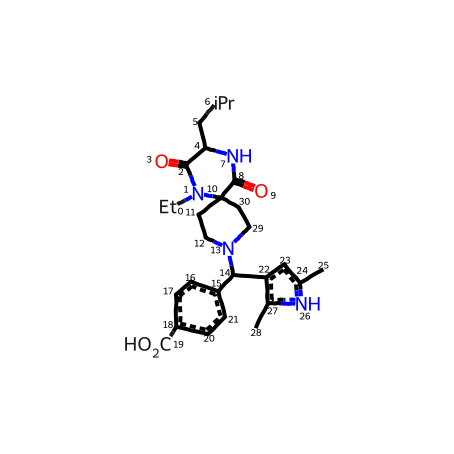 CCN1C(=O)C(CC(C)C)NC(=O)C12CCN(C(c1ccc(C(=O)O)cc1)c1cc(C)[nH]c1C)CC2